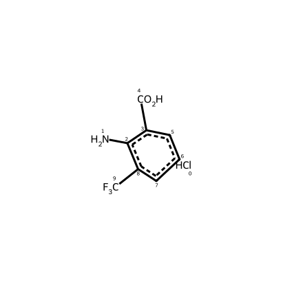 Cl.Nc1c(C(=O)O)cccc1C(F)(F)F